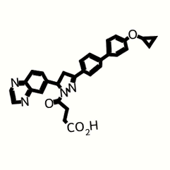 O=C(O)CCC(=O)N1N=C(c2ccc(-c3ccc(OC4CC4)cc3)cc2)CC1c1ccc2nccnc2c1